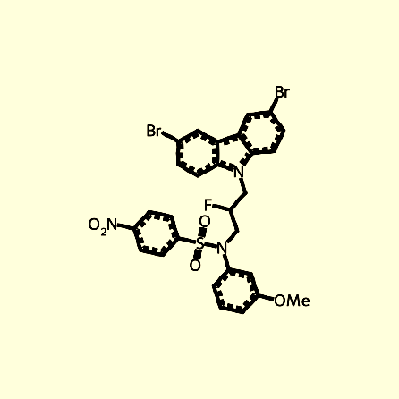 COc1cccc(N(CC(F)Cn2c3ccc(Br)cc3c3cc(Br)ccc32)S(=O)(=O)c2ccc([N+](=O)[O-])cc2)c1